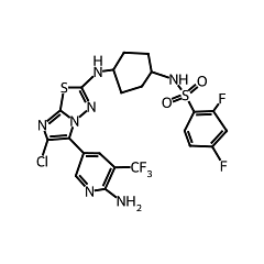 Nc1ncc(-c2c(Cl)nc3sc(NC4CCC(NS(=O)(=O)c5ccc(F)cc5F)CC4)nn23)cc1C(F)(F)F